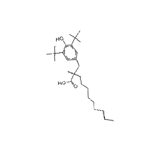 CCCCCCCCCC(C)(Cc1cc(C(C)(C)C)c(O)c(C(C)(C)C)c1)C(=O)O